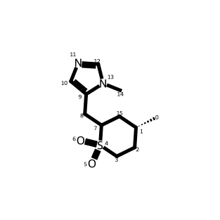 C[C@@H]1CCS(=O)(=O)C(Cc2cncn2C)C1